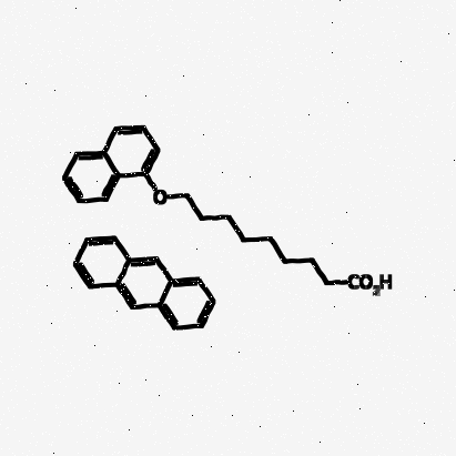 O=C(O)CCCCCCCCOc1cccc2ccccc12.c1ccc2cc3ccccc3cc2c1